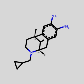 CC1[C@@H]2Cc3cc(N)c(N)cc3[C@@]1(C)CCN2CC1CC1